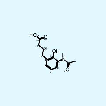 CC(=O)Nc1cccc(CCCC(=O)O)c1O